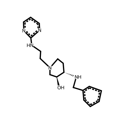 O[C@H]1CN(CCNc2ncccn2)CC[C@@H]1NCc1ccccc1